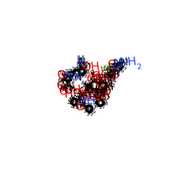 CC(=O)O[C@H]1C(=O)[C@@]2(C)[C@H]([C@H](OC(=O)c3ccccc3)[C@]3(O)C[C@H](OC(=O)[C@H](O)[C@@H](NC(=O)c4ccccc4)c4ccccc4)C(C)=C1C3(C)C)[C@]1(OC(C)=O)CO[C@@H]1C[C@@H]2O.CC[C@@]1(O)C(=O)OCc2c1cc1n(c2=O)Cc2cc3c(CN(C)C)c(O)ccc3nc2-1.Nc1ccn([C@@H]2O[C@H](CO)[C@@H](O)C2(F)F)c(=O)n1